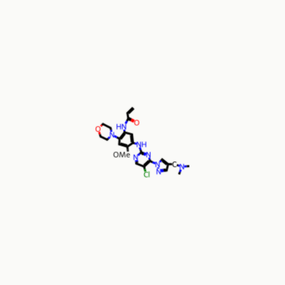 C=CC(=O)Nc1cc(Nc2ncc(Cl)c(-n3cc(CN(C)C)cn3)n2)c(OC)cc1N1CCOCC1